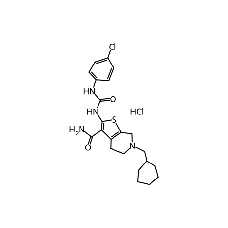 Cl.NC(=O)c1c(NC(=O)Nc2ccc(Cl)cc2)sc2c1CCN(CC1CCCCC1)C2